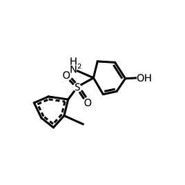 Cc1ccccc1S(=O)(=O)C1(N)C=CC(O)=CC1